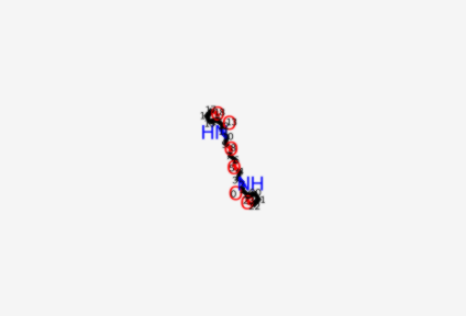 O=C(NCCOCCOCCNC(=O)c1ccco1)c1ccco1